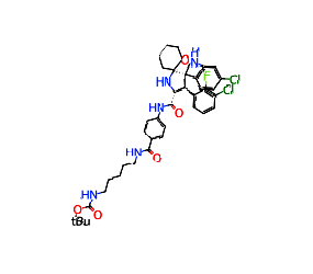 CC(C)(C)OC(=O)NCCCCCNC(=O)c1ccc(NC(=O)[C@@H]2NC3(CCCCC3)[C@@]3(C(=O)Nc4cc(Cl)ccc43)[C@H]2c2cccc(Cl)c2F)cc1